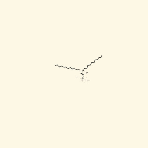 CCCCCCCCCCCCN1C=CN(C)C1CCCCCCCCCCC.O=S(=O)(O)O